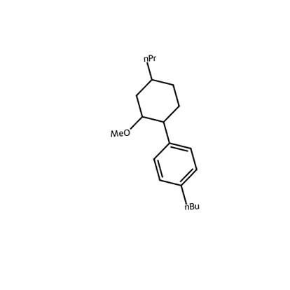 CCCCc1ccc(C2CCC(CCC)CC2OC)cc1